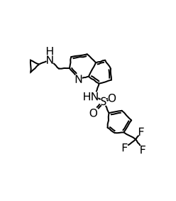 O=S(=O)(Nc1cccc2ccc(CNC3CC3)nc12)c1ccc(C(F)(F)F)cc1